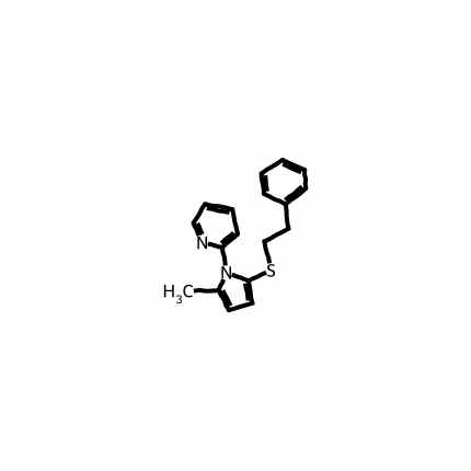 Cc1ccc(SCCc2ccccc2)n1-c1ccccn1